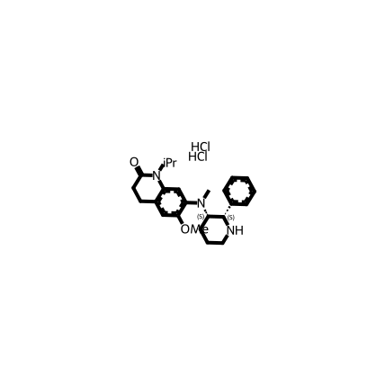 COc1cc2c(cc1N(C)[C@H]1CCCN[C@H]1c1ccccc1)N(C(C)C)C(=O)CC2.Cl.Cl